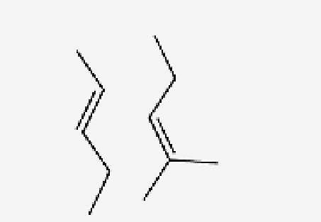 C/C=C/CC.CCC=C(C)C